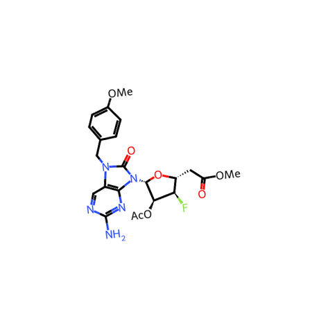 COC(=O)C[C@H]1O[C@@H](n2c(=O)n(Cc3ccc(OC)cc3)c3cnc(N)nc32)[C@H](OC(C)=O)[C@@H]1F